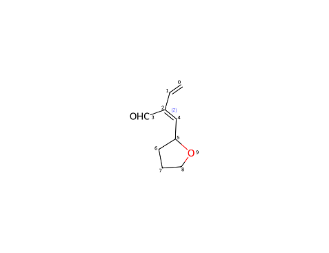 C=C/C(C=O)=C/C1CCCO1